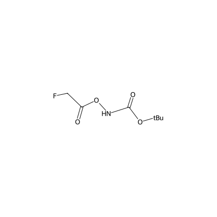 CC(C)(C)OC(=O)NOC(=O)CF